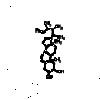 CC(C)C[C@@H](C)[C@H](C)C(C)[C@H]1CCC2C3CCC4C[C@@H](O)C(O)CC4(C)C3CC[C@@]21C